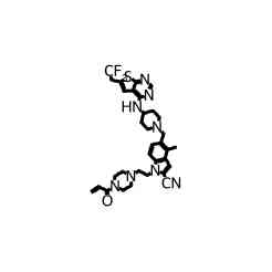 C=CC(=O)N1CCN(CCn2c(C#N)cc3c(C)c(CN4CCC(Nc5ncnc6sc(CC(F)(F)F)cc56)CC4)ccc32)CC1